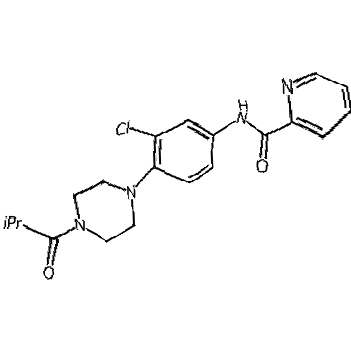 CC(C)C(=O)N1CCN(c2ccc(NC(=O)c3ccccn3)cc2Cl)CC1